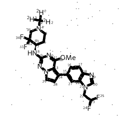 [2H]C([2H])([2H])N1CC[C@@H](Nc2nc(OC)c3c(-c4ccc5ncn(CC(F)F)c5c4)ccn3n2)C(F)(F)C1